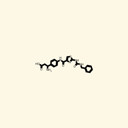 NC(CC(=O)O)c1ccc(NC(=O)c2csc(NC(=O)NCc3ccccc3)n2)cc1